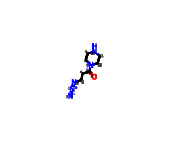 [N-]=[N+]=NCCC(=O)N1CCNCC1